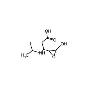 CC(I)NC(CC(=O)O)C1OC1O